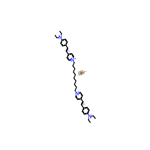 CCN(CC)c1ccc(/C=C/c2cc[n+](CCCCCCCCCC[n+]3ccc(/C=C/c4ccc(N(CC)CC)cc4)cc3)cc2)cc1.[Br-].[Br-]